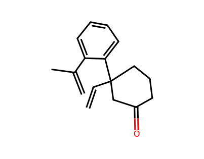 C=CC1(c2ccccc2C(=C)C)CCCC(=O)C1